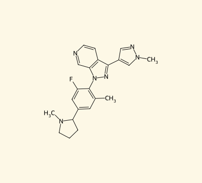 Cc1cc(C2CCCN2C)cc(F)c1-n1nc(-c2cnn(C)c2)c2ccncc21